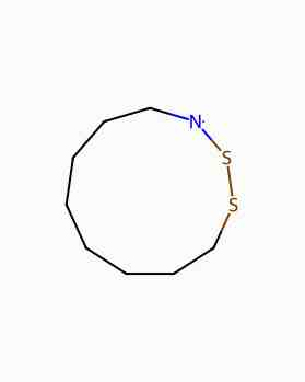 C1CCCCSS[N]CCC1